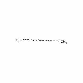 CCCCCCCCCCCCC=CCCCCCCCCCCCCC